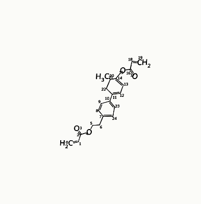 C=CC(=O)OCCc1ccc(C2=CC=C(OC(=O)C=C)C(C)C2)cc1